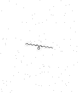 CCCCCCC=CC(=O)C=CCCCCCC